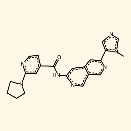 Cn1cncc1-c1cc2cc(NC(=O)c3ccnc(N4CCCC4)c3)ncc2cn1